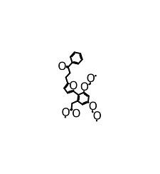 COCOc1cc(CC(=O)OC)c(-c2ccc(CCC(=O)c3ccccc3)o2)c(OCOC)c1